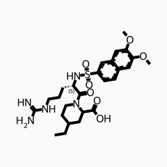 CCC1CCN(C(=O)[C@H](CCCNC(=N)N)NS(=O)(=O)c2ccc3cc(OC)c(OC)cc3c2)C(C(=O)O)C1